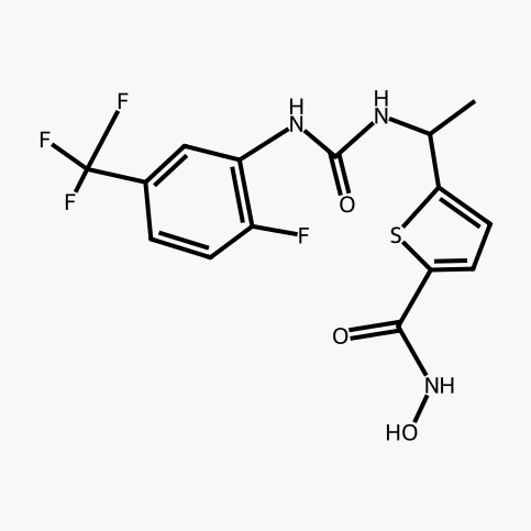 CC(NC(=O)Nc1cc(C(F)(F)F)ccc1F)c1ccc(C(=O)NO)s1